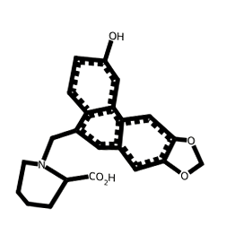 O=C(O)C1CCCCN1Cc1cc2cc3c(cc2c2cc(O)ccc12)OCO3